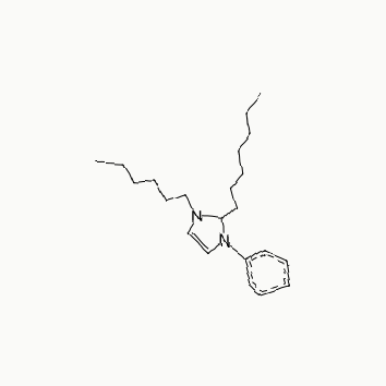 CCCCCCCC1N(CCCCCC)C=CN1c1ccccc1